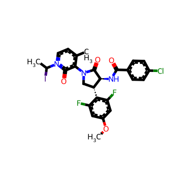 COc1cc(F)c([C@@H]2CN(c3c(C)ccn(C(C)I)c3=O)C(=O)[C@H]2NC(=O)c2ccc(Cl)cc2)c(F)c1